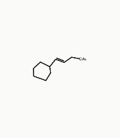 CC(=O)OC/C=C/C1CCCCC1